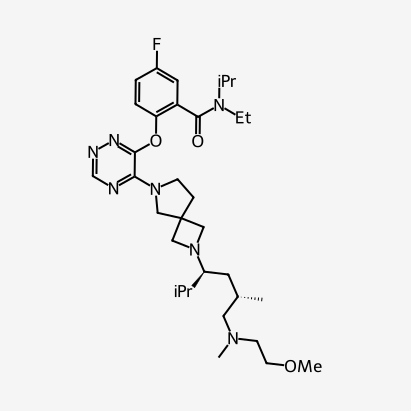 CCN(C(=O)c1cc(F)ccc1Oc1nncnc1N1CCC2(C1)CN([C@@H](C[C@H](C)CN(C)CCOC)C(C)C)C2)C(C)C